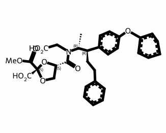 COC(=O)[C@@]1(C(=O)O)OC[C@@H](C(=O)N(CC(=O)O)[C@H](C)[C@H](CCc2ccccc2)c2ccc(Oc3ccccc3)cc2)O1